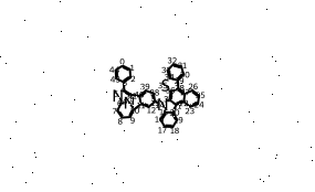 c1ccc(-c2nc3cccc4c5cc(-n6c7ccccc7c7c8ccccc8c8c9ccccc9sc8c76)ccc5c2n34)cc1